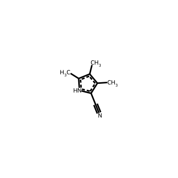 Cc1[nH]c(C#N)c(C)c1C